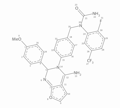 COc1ccc(C2N=c3occc3=C(N)N2c2ccc(CN(C(N)=O)c3cc(C(F)(F)F)ccc3F)cc2)cc1